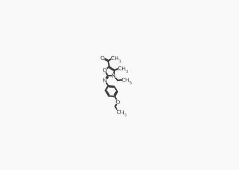 CCOc1ccc(N=c2oc(C(C)=O)c(C)n2CC)cc1